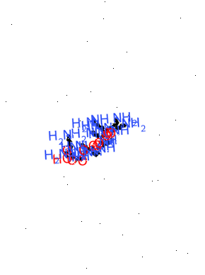 C[C@H](NC(=O)[C@@H](NC(=O)[C@@H](N)CCCCN)[C@@H](O)CN)C(=O)NCC(=O)N[C@H](CCCN)C(=O)N1CCC[C@H]1C(=O)N[C@@H](Cc1cn(C)cn1)C(=O)N[C@@H](CCCCN)C(=O)N/C(=C\CCNC(=N)N)C(=O)N[C@@H](CCCCN)C(=O)NCCCCN